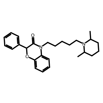 CC1CCCC(C)N1CCCCCN1C(=O)C(c2ccccc2)Oc2ccccc21